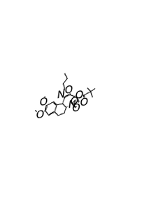 CCCc1nc([C@@H]2c3cc(OC)c(OC)cc3CC[C@H]2[N+](=O)[O-])c(COC(=O)C(C)(C)C)o1